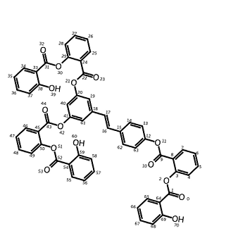 O=C(Oc1ccccc1C(=O)Oc1ccc(/C=C/c2cc(OC(=O)c3ccccc3OC(=O)c3ccccc3O)cc(OC(=O)c3ccccc3OC(=O)c3ccccc3O)c2)cc1)c1ccccc1O